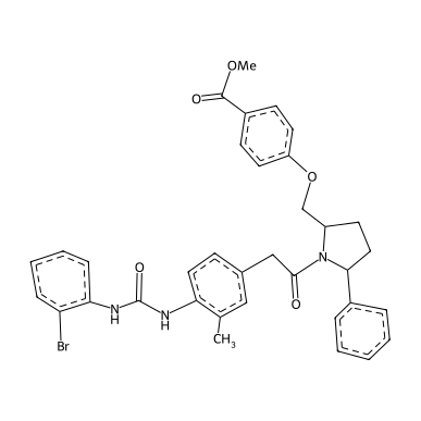 COC(=O)c1ccc(OCC2CCC(c3ccccc3)N2C(=O)Cc2ccc(NC(=O)Nc3ccccc3Br)c(C)c2)cc1